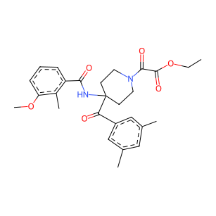 CCOC(=O)C(=O)N1CCC(NC(=O)c2cccc(OC)c2C)(C(=O)c2cc(C)cc(C)c2)CC1